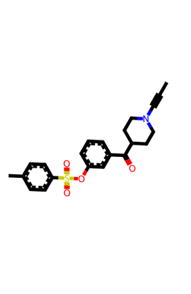 CC#CN1CCC(C(=O)c2cccc(OS(=O)(=O)c3ccc(C)cc3)c2)CC1